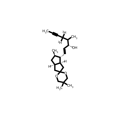 [2H]C([2H])(C#CC)C(C)[C@H](O)/C=C/[C@@H]1[C@H]2CC3(C[C@H]2C[C@H]1C)OCC(C)(C)CO3